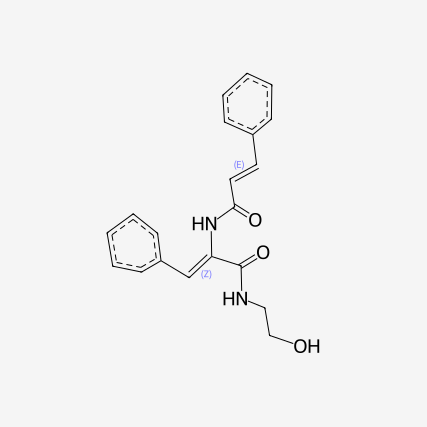 O=C(/C=C/c1ccccc1)N/C(=C\c1ccccc1)C(=O)NCCO